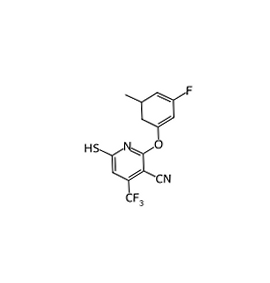 CC1C=C(F)C=C(Oc2nc(S)cc(C(F)(F)F)c2C#N)C1